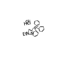 CCn1cnc(C[P+](c2ccccc2)(c2ccccc2)c2ccccc2)c1.Cl.[Cl-]